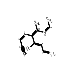 C#C\C=N/C(C(/C)=C/C=C)=C(C)/N=C\C